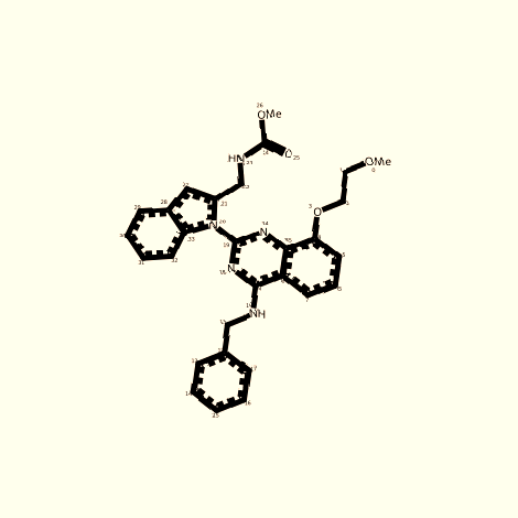 COCCOc1cccc2c(NCc3ccccc3)nc(-n3c(CNC(=O)OC)cc4ccccc43)nc12